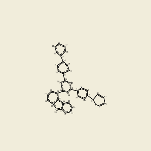 C1=CCC(c2ccc(-c3nc(-c4ccc(-c5ccccc5)cc4)nc(-c4cccc5oc6ccccc6c45)n3)cc2)C=C1